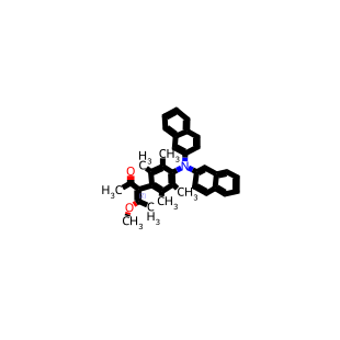 CO/C(C)=C(\C(C)=O)c1c(C)c(C)c(N(c2ccc3ccccc3c2)c2ccc3ccccc3c2)c(C)c1C